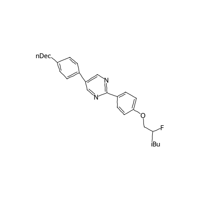 CCCCCCCCCCc1ccc(-c2cnc(-c3ccc(OCC(F)C(C)CC)cc3)nc2)cc1